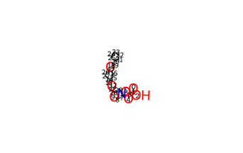 O=C(O)C(=O)ON1CCOC(COCc2ccc(OCc3ccccc3)cc2)C1